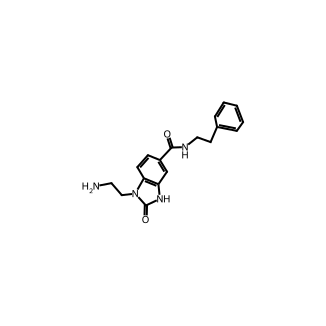 NCCn1c(=O)[nH]c2cc(C(=O)NCCc3ccccc3)ccc21